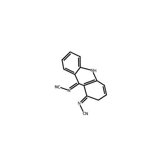 N#CN=C1CC=Cc2[nH]c3ccccc3c(=NC#N)c21